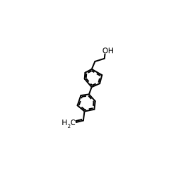 C=Cc1ccc(-c2ccc(CCO)cc2)cc1